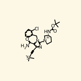 CC(C)(C)OC(=O)N[C@@H]1CCCN(c2nc(C#C[Si](C)(C)C)c(C(N)=O)n2Cc2ccccc2Cl)C1